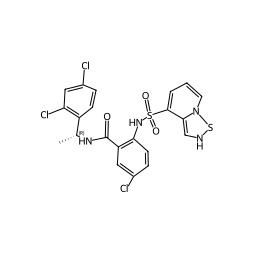 C[C@@H](NC(=O)c1cc(Cl)ccc1NS(=O)(=O)C1=CC=CN2SNC=C12)c1ccc(Cl)cc1Cl